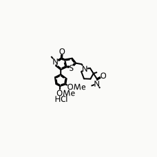 COc1ccc(-c2cn(C)c(=O)c3cc(CN4CCCC(C)(C(=O)N(C)C)C4)sc23)cc1OC.Cl